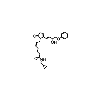 O=C(CCC/C=C\C[C@H]1C(=O)CC=C1/C=C/[C@@H](O)COc1ccccc1)NCC1CC1